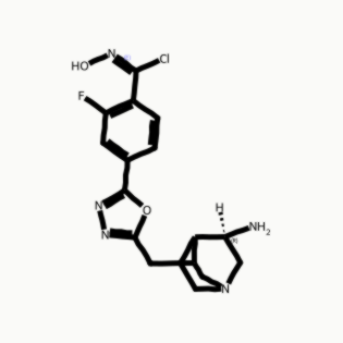 N[C@H]1CN2CCC1C(Cc1nnc(-c3ccc(/C(Cl)=N\O)c(F)c3)o1)C2